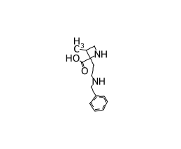 CC1CNC1(CCNCc1ccccc1)C(=O)O